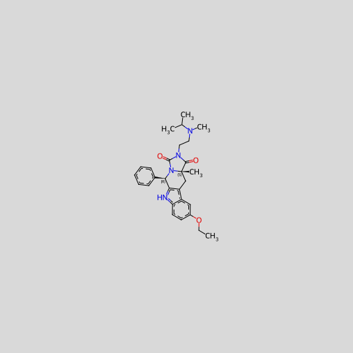 CCOc1ccc2[nH]c3c(c2c1)C[C@@]1(C)C(=O)N(CCN(C)C(C)C)C(=O)N1[C@@H]3c1ccccc1